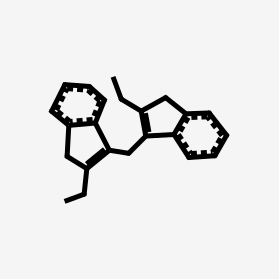 CCC1=C(CC2=C(CC)Cc3ccccc32)c2ccccc2C1